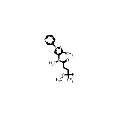 Cc1nn(-c2cccnc2)cc1N(C)C(=O)CCC(F)(OC(F)(F)F)C(F)(F)F